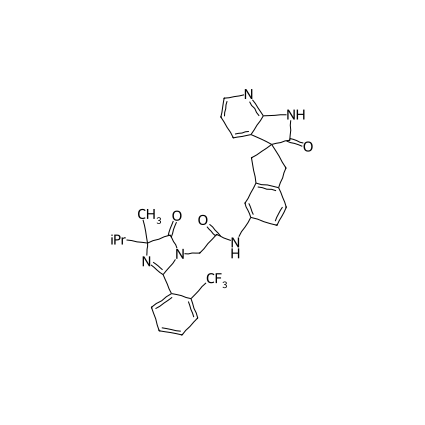 CC(C)C1(C)N=C(c2ccccc2C(F)(F)F)N(CC(=O)Nc2ccc3c(c2)CC2(C3)C(=O)Nc3ncccc32)C1=O